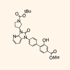 COC(=O)c1ccc(-c2ccc(-n3c(=O)n([C@H]4CCN(C(=O)OC(C)(C)C)C4)c4ncccc43)cc2)c(O)c1